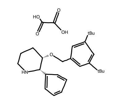 CC(C)(C)c1cc(CO[C@H]2CCCN[C@H]2c2ccccc2)cc(C(C)(C)C)c1.O=C(O)C(=O)O